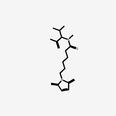 C=C(C)C(C(C)C)N(C)C(=O)CCCCCn1c(=C)ccc1=C